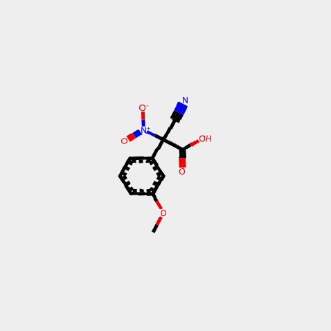 COc1cccc(C(C#N)(C(=O)O)[N+](=O)[O-])c1